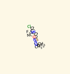 CN1CCN(C2=NC(=O)C(=Cc3ccc4c(c3)c(C#N)nn4Cc3ccc(Cl)cc3C(F)(F)F)S2)CC1(C)C